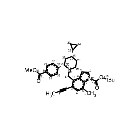 CC#Cc1cc(C)c2c(ccn2C(=O)OC(C)(C)C)c1CN1CC[C@@H](C2CC2)C[C@H]1c1ccc(C(=O)OC)cc1